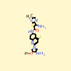 Cc1cnc2c(N)c(C(=O)NC3CCc4nc(N5CC(N)C(OC(C)C)C5)cc(F)c4C3)sc2n1